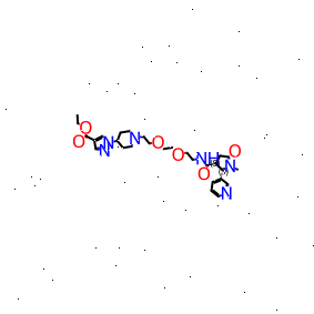 CCOC(=O)c1cnn(C2CCN(CCOCCOCCNC(=O)[C@H]3CC(=O)N(C)[C@@H]3c3cccnc3)CC2)c1